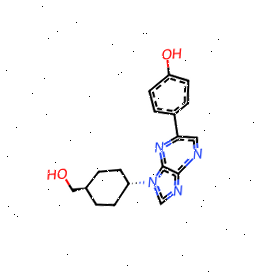 OC[C@H]1CC[C@H](n2cnc3ncc(-c4ccc(O)cc4)nc32)CC1